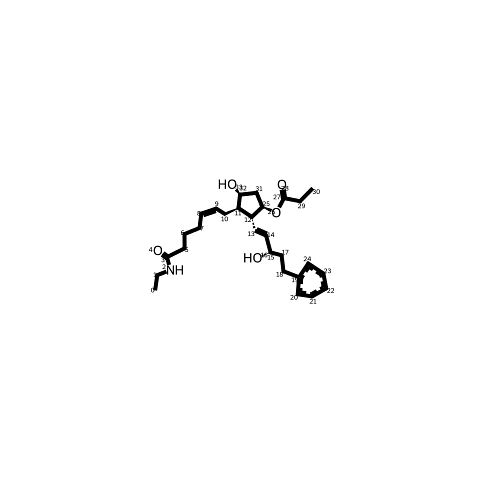 CCNC(=O)CCC/C=C\C[C@@H]1[C@@H](/C=C/[C@@H](O)CCc2ccccc2)[C@H](OC(=O)CC)C[C@@H]1O